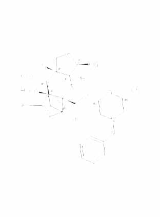 CC(C)C1=C[C@H]2C[C@@]3(C=O)[C@@H]4CC[C@@H](C)[C@H]4C[C@@]2(CO[C@H]2CN(Cc4ccccc4)C[C@@H](C)O2)[C@]13C(=O)O